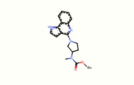 CN(C(=O)OC(C)(C)C)C1CCN(c2nc3ccccc3c3[nH]ccc23)C1